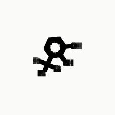 CCC(CC)(CC)c1cccc(O)c1O